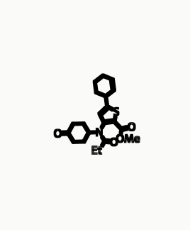 CCC(=O)N(c1cc(C2C=CCCC2)sc1C(=O)OC)C1CCC(=O)CC1